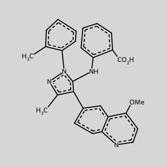 COc1ccnc2ccc(-c3c(C)nn(-c4ccccc4C)c3Nc3ccccc3C(=O)O)cc12